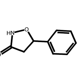 O=C1CC(c2ccccc2)ON1